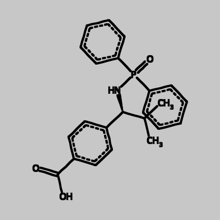 CC(C)[C@H](NP(=O)(c1ccccc1)c1ccccc1)c1ccc(C(=O)O)cc1